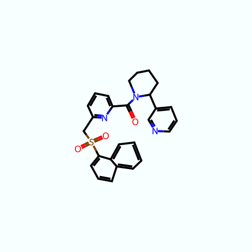 O=C(c1cccc(CS(=O)(=O)c2cccc3ccccc23)n1)N1CCCCC1c1cccnc1